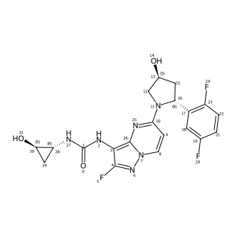 O=C(Nc1c(F)nn2ccc(N3C[C@@H](O)C[C@@H]3c3cc(F)ccc3F)nc12)N[C@@H]1C[C@H]1O